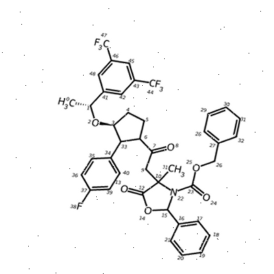 C[C@@H](O[C@H]1CCC(C(=O)CC2(C)C(=O)OC(c3ccccc3)N2C(=O)OCc2ccccc2)C1c1ccc(F)cc1)c1cc(C(F)(F)F)cc(C(F)(F)F)c1